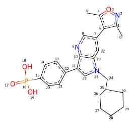 Cc1noc(C)c1-c1cnc2c(-c3ccc(P(=O)(O)O)cc3)cn(CC3CCCCC3)c2c1